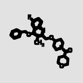 Cc1c(COC2CCN(C(=O)C3CCOCC3)CC2)nc2ccc(F)cc2c1OCc1ccccc1